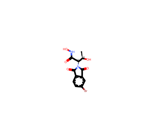 C[C@@H](O)[C@@H](C(=O)NO)N1C(=O)c2ccc(Br)cc2C1=O